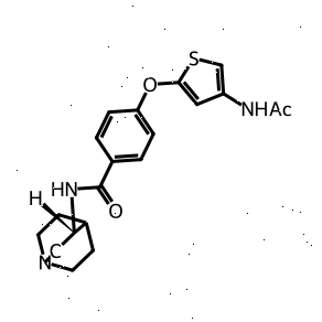 CC(=O)Nc1csc(Oc2ccc(C(=O)N[C@H]3CN4CCC3CC4)cc2)c1